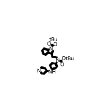 CC(C)(C)OC(=O)N(CCc1cn(C(=O)OC(C)(C)C)c2ccccc12)c1ccc(Nc2ccncc2)cc1